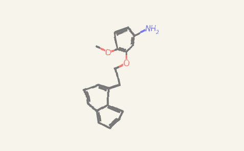 COc1ccc(N)cc1OCCc1cccc2ccccc12